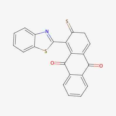 O=C1C2=CCC(=S)C(c3nc4ccccc4s3)=C2C(=O)c2ccccc21